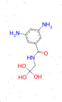 Nc1cc(N)cc(C(=O)NCC(O)(O)O)c1